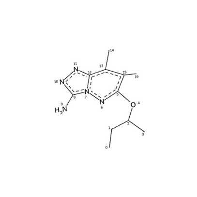 CCC(C)Oc1nn2c(N)nnc2c(C)c1C